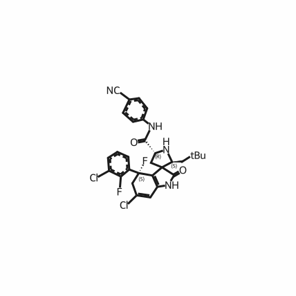 CC(C)(C)C[C@@H]1N[C@@H](C(=O)Nc2ccc(C#N)cc2)CC12C(=O)NC1=C2[C@](F)(c2cccc(Cl)c2F)CC(Cl)=C1